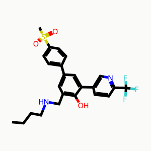 CCCCNCc1cc(-c2ccc(S(C)(=O)=O)cc2)cc(-c2ccc(C(F)(F)F)nc2)c1O